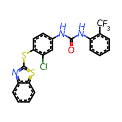 O=C(Nc1ccc(Sc2nc3ccccc3s2)c(Cl)c1)Nc1ccccc1C(F)(F)F